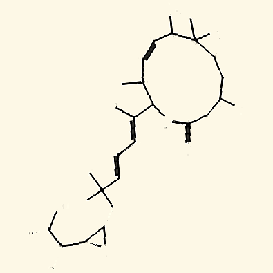 CC[C@H](O)[C@@H](C)[C@@H]1O[C@H]1CC(C)(O)/C=C/C=C(\C)C1OC(=O)CC(O)CCC(C)(O)C(OC(C)=O)C=CC1C